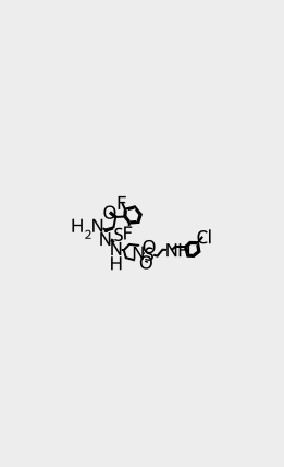 Nc1nc(NC2CCN(S(=O)(=O)CCNCc3cccc(Cl)c3)CC2)sc1C(=O)c1c(F)cccc1F